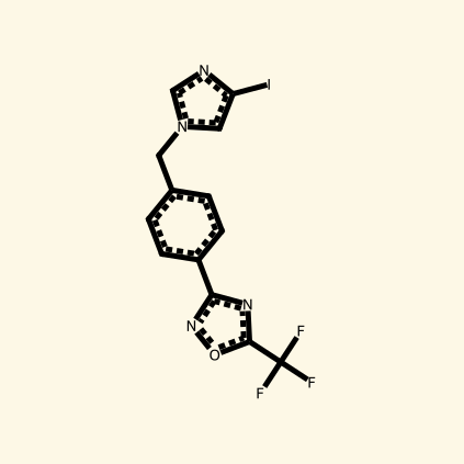 FC(F)(F)c1nc(-c2ccc(Cn3cnc(I)c3)cc2)no1